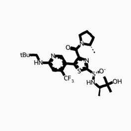 C[C@H]1CCCN1C(=O)c1nc([S+]([O-])N[C@H](C)C(C)(C)O)sc1-c1cnc(NCC(C)(C)C)cc1C(F)(F)F